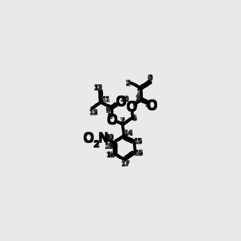 C=C(C)C(=O)OCC(OC(=O)C(=C)C)c1ccccc1[N+](=O)[O-]